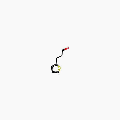 O=CCCc1cccs1